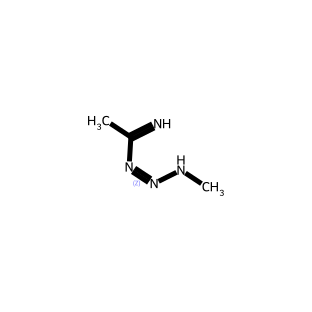 CN/N=N\C(C)=N